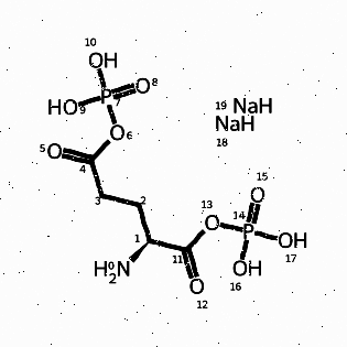 N[C@@H](CCC(=O)OP(=O)(O)O)C(=O)OP(=O)(O)O.[NaH].[NaH]